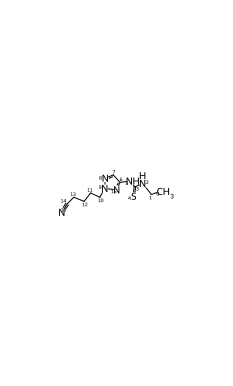 CCNC(=S)Nc1cnn(CCCCC#N)n1